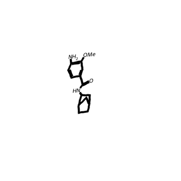 COc1cc(C(=O)NC2CC3CCC2C3)ccc1N